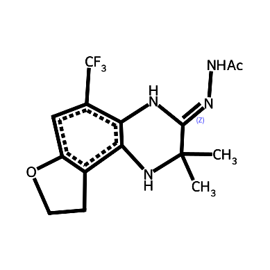 CC(=O)N/N=C1\Nc2c(C(F)(F)F)cc3c(c2NC1(C)C)CCO3